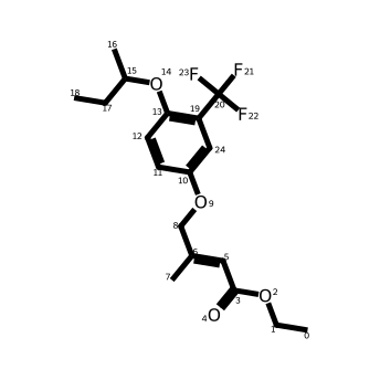 CCOC(=O)C=C(C)COc1ccc(OC(C)CC)c(C(F)(F)F)c1